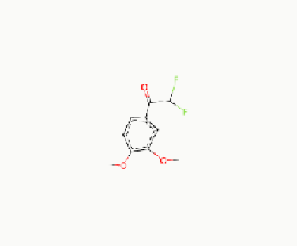 COc1ccc(C(=O)C(F)F)cc1OC